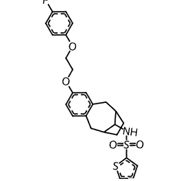 O=S(=O)(NC1C2CCC1Cc1cc(OCCOc3ccc(F)cc3)ccc1C2)c1cccs1